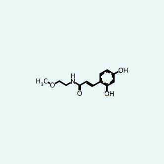 COCCNC(=O)/C=C/c1ccc(O)cc1O